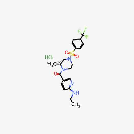 CCNc1ccc(C(=O)N2CCN(S(=O)(=O)c3ccc(C(F)(F)F)cc3)C[C@@H]2C)cn1.Cl